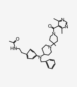 CC(=O)NCCc1ccc(N(Cc2ccccc2)C2CCN(C3(C)CCN(C(=O)c4c(C)ncnc4C)CC3)CC2)cc1